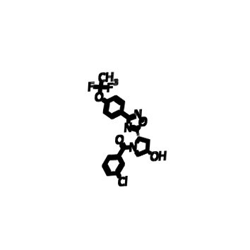 CC(F)(F)Oc1ccc(-c2noc([C@@H]3C[C@@H](O)CN3C(=O)c3cccc(Cl)c3)n2)cc1